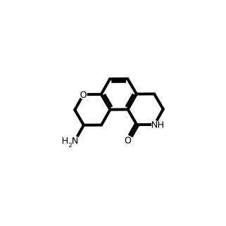 NC1COc2ccc3c(c2C1)C(=O)NCC3